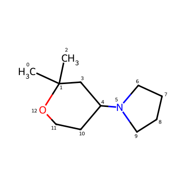 CC1(C)CC(N2CCCC2)CCO1